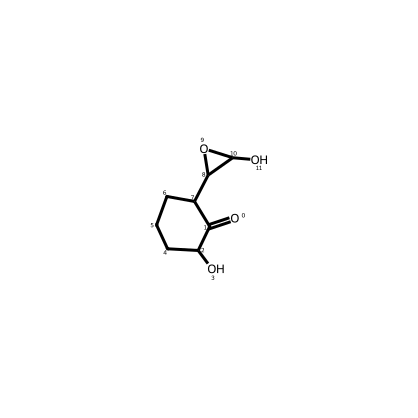 O=C1C(O)CCCC1C1OC1O